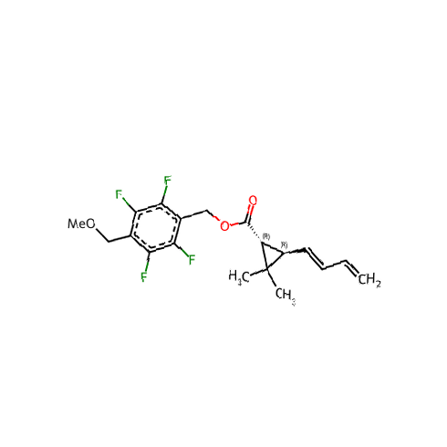 C=CC=C[C@@H]1[C@@H](C(=O)OCc2c(F)c(F)c(COC)c(F)c2F)C1(C)C